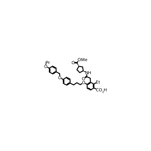 CCc1c(C(=O)O)ccc(OCCCc2ccc(OCc3ccc(OC(C)C)cc3)cc2)c1CC(=O)N[C@H]1CC[C@@H](C(=O)OC)C1